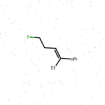 CCC/C(=C/CCF)CC